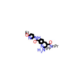 CCCN(CCC)C(=O)C1=Cc2ccc(C(=O)Nc3ccc(OCC)nc3)cc2N=C(N)C1